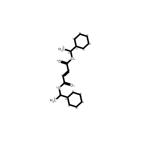 CC(OC(=O)C=CC(=O)OC(C)C1CCCCC1)C1CCCCC1